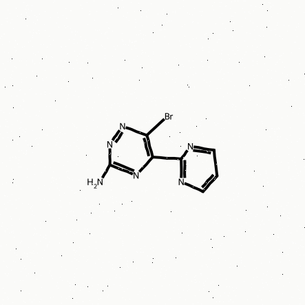 Nc1nnc(Br)c(-c2ncccn2)n1